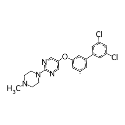 CN1CCN(c2ncc(Oc3c[c]cc(-c4cc(Cl)cc(Cl)c4)c3)cn2)CC1